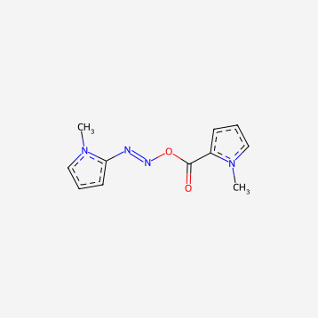 Cn1cccc1N=NOC(=O)c1cccn1C